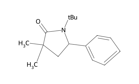 CC1(C)CC(c2ccccc2)N(C(C)(C)C)C1=O